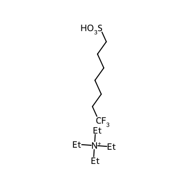 CC[N+](CC)(CC)CC.O=S(=O)(O)CCCCCCC(F)(F)F